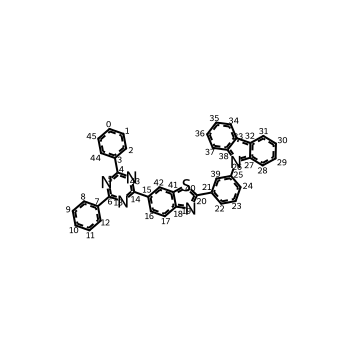 c1ccc(-c2nc(-c3ccccc3)nc(-c3ccc4nc(-c5cccc(-n6c7ccccc7c7ccccc76)c5)sc4c3)n2)cc1